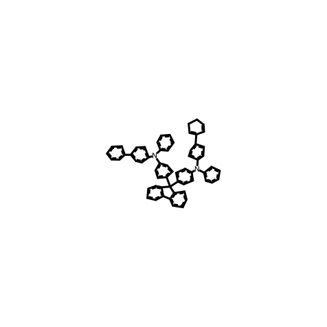 C1=CC(c2ccc(N(c3ccccc3)c3ccc(C4(c5ccc(N(c6ccccc6)c6ccc(-c7ccccc7)cc6)cc5)c5ccccc5-c5ccccc54)cc3)cc2)=CCC1